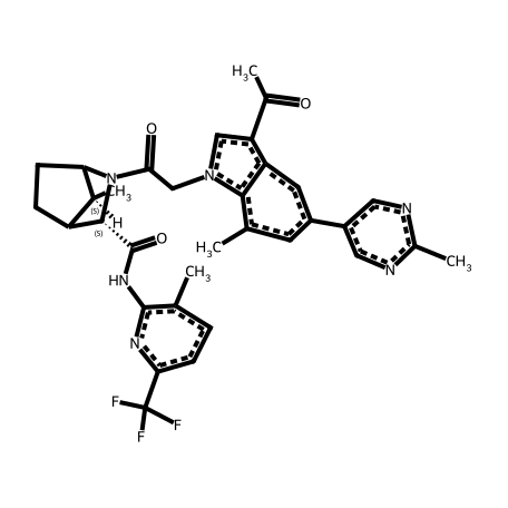 CC(=O)c1cn(CC(=O)N2C3CCC([C@@H]3C)[C@H]2C(=O)Nc2nc(C(F)(F)F)ccc2C)c2c(C)cc(-c3cnc(C)nc3)cc12